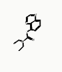 CCN(CC)C(=O)Sc1cccc2nccnc12